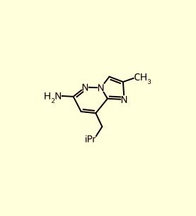 Cc1cn2nc(N)cc(CC(C)C)c2n1